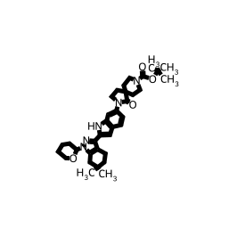 CC1(C)CCc2c(-c3cc4ccc(N5CCC6(CCN(C(=O)OC(C)(C)C)CC6)C5=O)cc4[nH]3)nn(C3CCCCO3)c2C1